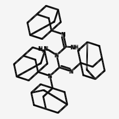 NC(=NC12CC3CC(CC(C3)C1)C2)N(N)C(=NC12CC3CC(CC(C3)C1)C2)N(C12CC3CC(CC(C3)C1)C2)C12CC3CC(CC(C3)C1)C2